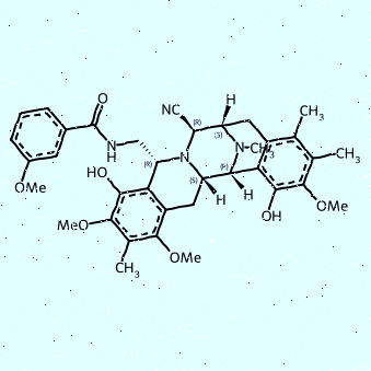 COc1cccc(C(=O)NC[C@H]2c3c(O)c(OC)c(C)c(OC)c3C[C@H]3[C@H]4c5c(O)c(OC)c(C)c(C)c5C[C@@H]([C@H](C#N)N23)N4C)c1